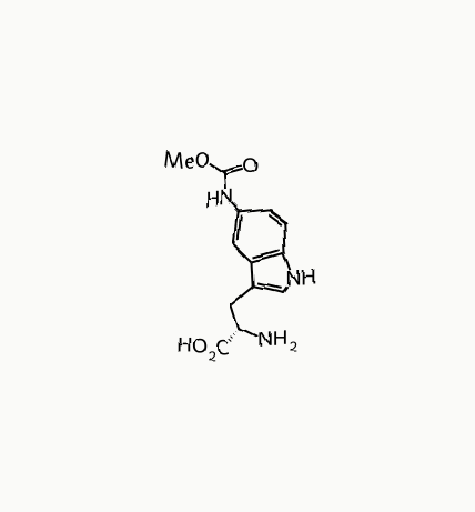 COC(=O)Nc1ccc2[nH]cc(C[C@H](N)C(=O)O)c2c1